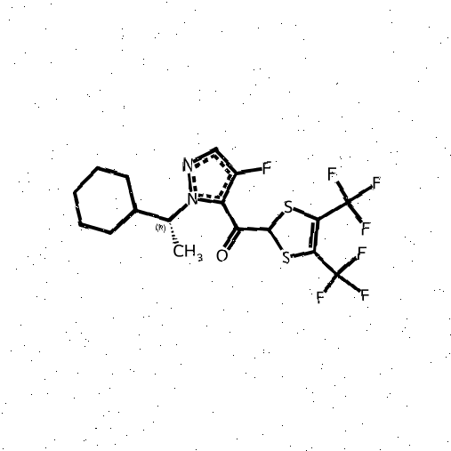 C[C@H](C1CCCCC1)n1ncc(F)c1C(=O)C1SC(C(F)(F)F)=C(C(F)(F)F)S1